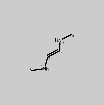 CN/C=C/NC